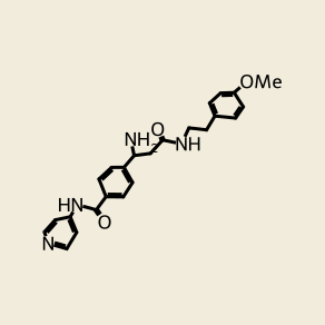 COc1ccc(CCNC(=O)CC(N)c2ccc(C(=O)Nc3ccncc3)cc2)cc1